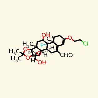 CC1(C)O[C@@H]2C[C@H]3[C@@H]4CC(C=O)=C5C=C(OCCCl)CC[C@]5(C)[C@@]4(F)C(O)C[C@]3(C)[C@]2(C(=O)CO)O1